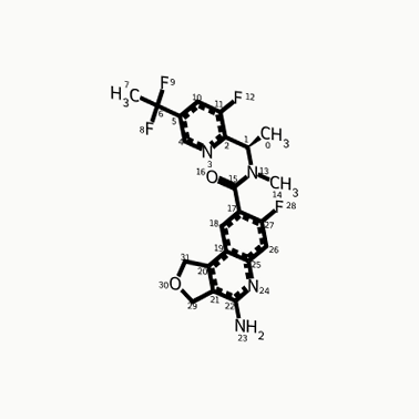 C[C@H](c1ncc(C(C)(F)F)cc1F)N(C)C(=O)c1cc2c3c(c(N)nc2cc1F)COC3